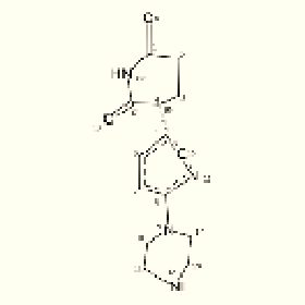 O=C1CC[C@H](c2ccc(N3CCNCC3)nc2)C(=O)N1